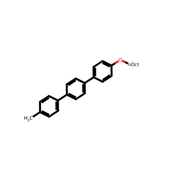 CCCCCCCCOc1ccc(-c2ccc(-c3ccc(C)cc3)cc2)cc1